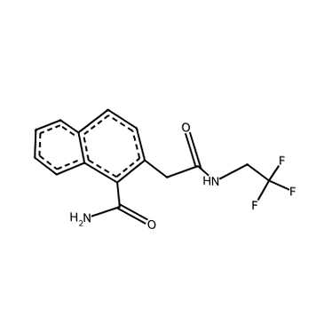 NC(=O)c1c(CC(=O)NCC(F)(F)F)ccc2ccccc12